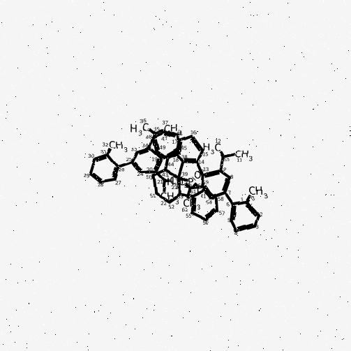 Cc1ccccc1-c1cc(C(C)C)c(-c2cccc(-c3c(C(C)C)cc(-c4ccccc4C)cc3C(C)C)c2C2(P(=O)=O)C(c3ccccc3)CCCC2c2ccccc2)c(C(C)C)c1